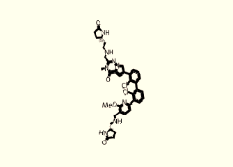 COc1nc(-c2cccc(-c3cccc(-c4cc5c(=O)n(C)c(CNCC[C@@H]6CCC(=O)N6)nn5c4)c3Cl)c2Cl)ccc1CNC[C@@H]1CCC(=O)N1